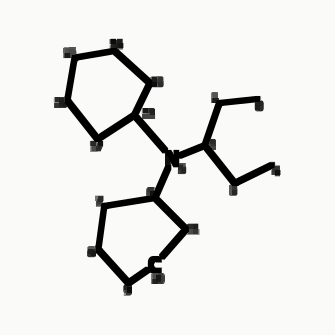 CCC(CC)N(C1CCCCC1)C1CCCCC1